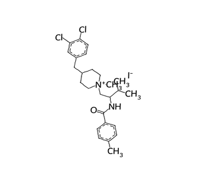 Cc1ccc(C(=O)NC(C[N+]2(C)CCC(Cc3ccc(Cl)c(Cl)c3)CC2)C(C)C)cc1.[I-]